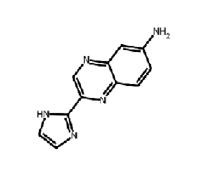 Nc1ccc2nc(-c3ncc[nH]3)cnc2c1